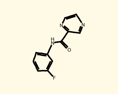 O=C(Nc1cccc(F)c1)c1cnccn1